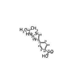 CC(C)Nc1nc(-c2ccc(C(=O)O)cc2)cs1